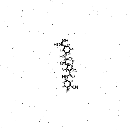 Cc1c(C(=O)Nc2ccc(F)c(C#N)c2)c(C)n(C)c1C(=O)C(=O)Nc1cccc(B(O)O)c1